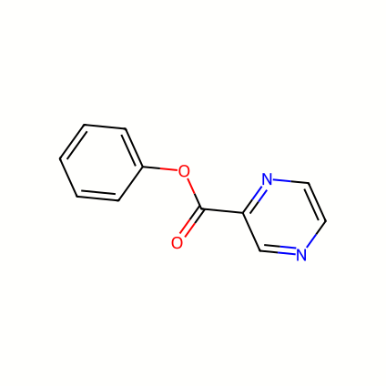 O=C(Oc1ccccc1)c1cnccn1